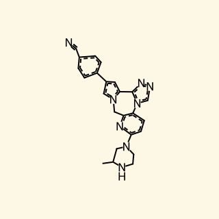 CC1CN(c2ccc3c(n2)Cn2cc(-c4ccc(C#N)cc4)cc2-c2nncn2-3)CCN1